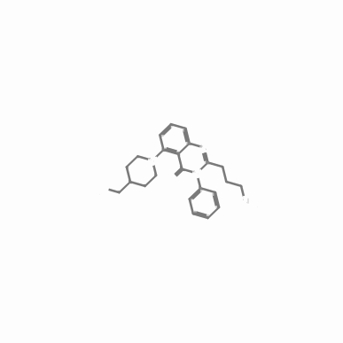 NCCCc1nc2cccc(N3CCC(CC(=O)O)CC3)c2c(=O)n1-c1ccccc1